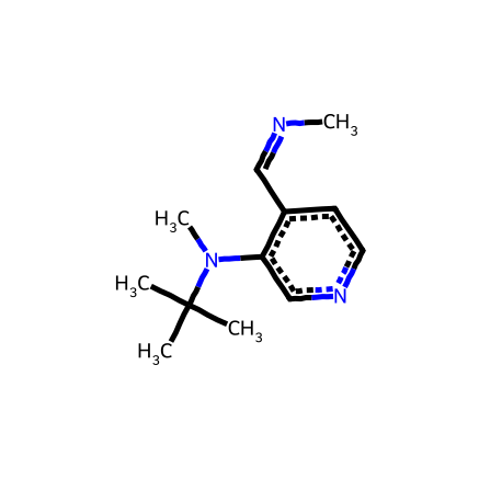 C/N=C\c1ccncc1N(C)C(C)(C)C